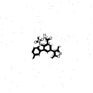 Cc1ccc2c(c1)c1cc(-c3c(C)noc3C)cc(C(N)=O)c1n2S(C)(=O)=O